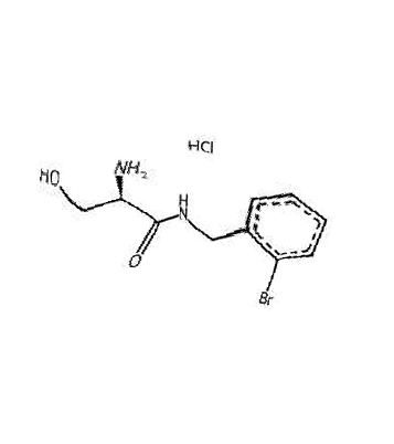 Cl.N[C@H](CO)C(=O)NCc1ccccc1Br